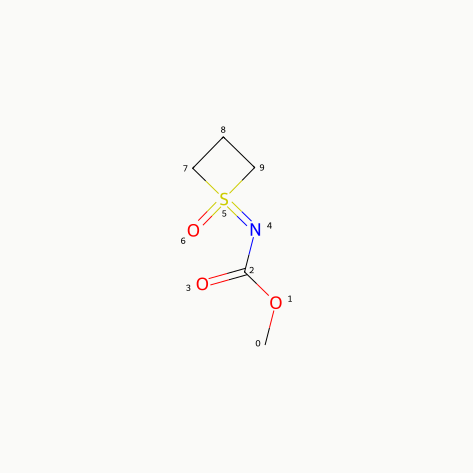 COC(=O)N=S1(=O)CCC1